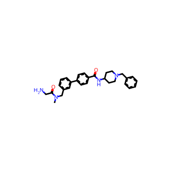 CN(Cc1cccc(-c2ccc(C(=O)NC3CCN(Cc4ccccc4)CC3)cc2)c1)C(=O)CN